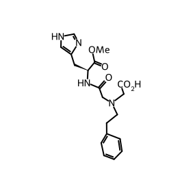 COC(=O)[C@H](Cc1c[nH]cn1)NC(=O)CN(CCc1ccccc1)CC(=O)O